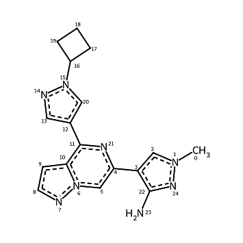 Cn1cc(-c2cn3nccc3c(-c3cnn(C4CCC4)c3)n2)c(N)n1